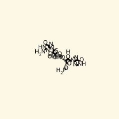 Nc1nc2c(ncn2[C@@H]2SC(OPOC[C@H]3[C@@H](O)[C@H](n4cnc5c(=O)[nH]cnc54)O[C@@H]3COP)[C@@H](O)[C@H]2OO)c(=O)[nH]1